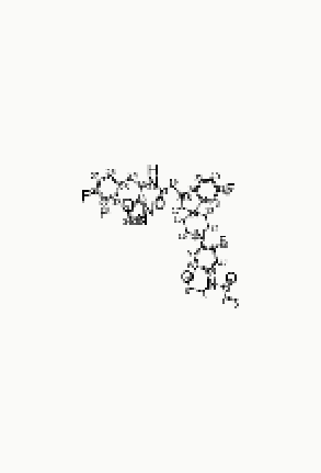 C=CC(=O)N1CCOc2cc(N3CCC4(CC3)C[C@@H](CC(=O)NC(Cc3ccc(F)c(F)c3)c3nnco3)c3ccc(F)cc34)c(F)cc21